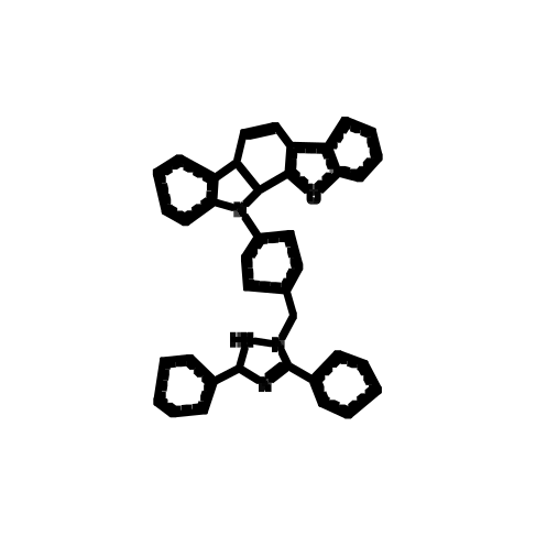 C1=CC2c3ccccc3N(c3ccc(CN4NC(c5ccccc5)N=C4c4ccccc4)cc3)C2c2oc3ccccc3c21